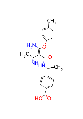 CC(=N)/C(C(=O)N[C@@H](C)c1ccc(C(=O)O)cc1)=C(\N)Oc1ccc(C)cc1